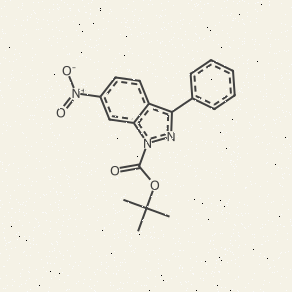 CC(C)(C)OC(=O)n1nc(-c2ccccc2)c2ccc([N+](=O)[O-])cc21